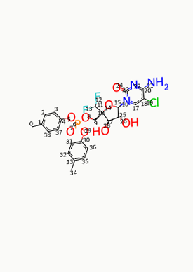 Cc1ccc(OP(=O)(OC[C@@]2(C(F)F)O[C@@H](n3cc(Cl)c(N)nc3=O)[C@H](O)[C@H]2O)Oc2ccc(C)cc2)cc1